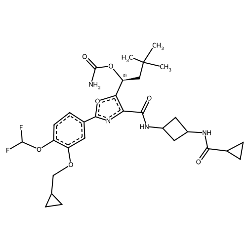 CC(C)(C)C[C@H](OC(N)=O)c1oc(-c2ccc(OC(F)F)c(OCC3CC3)c2)nc1C(=O)NC1CC(NC(=O)C2CC2)C1